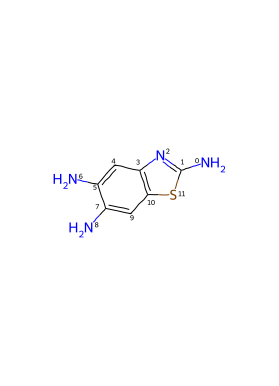 Nc1nc2cc(N)c(N)cc2s1